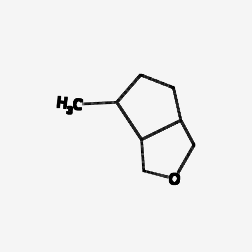 CC1CCC2COCC12